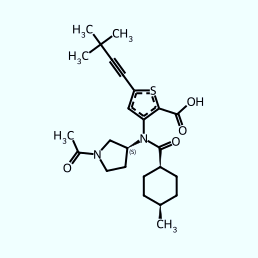 CC(=O)N1CC[C@H](N(c2cc(C#CC(C)(C)C)sc2C(=O)O)C(=O)[C@H]2CC[C@@H](C)CC2)C1